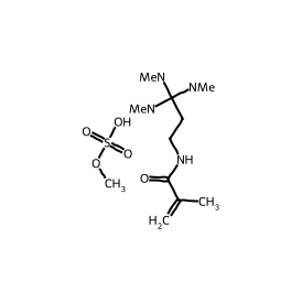 C=C(C)C(=O)NCCC(NC)(NC)NC.COS(=O)(=O)O